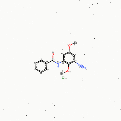 CCOc1cc([N+]#N)c(OCC)c(NC(=O)c2ccccc2)c1.[Cl-]